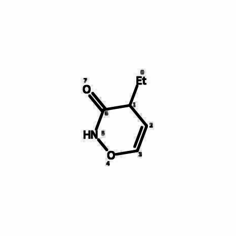 CCC1C=CONC1=O